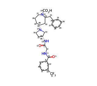 O=C(CNC(=O)c1cccc(C(F)(F)F)c1)N[C@@H]1CCN([C@@H]2CCCN(C(=O)O)C(Cc3ccccc3)C2)C1